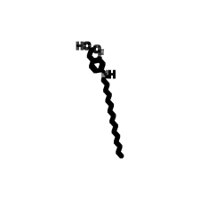 CCCCCCCCCCCCCCCCNc1ccc(CC(=O)O)c(F)c1